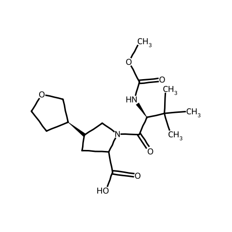 COC(=O)N[C@H](C(=O)N1CC([C@H]2CCOC2)CC1C(=O)O)C(C)(C)C